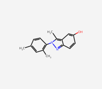 Cc1ccc(-n2nc3ccc(O)cc3c2C)c(C)c1